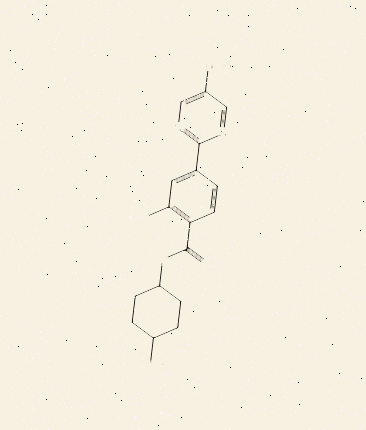 CCCCCCCCC1CCC(OC(=O)c2ccc(-c3ncc(CCCCCC)cn3)cc2F)CC1